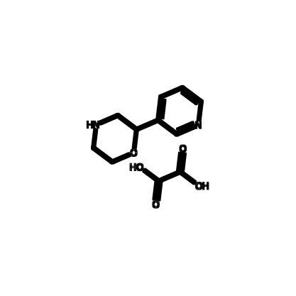 O=C(O)C(=O)O.c1cncc(C2CNCCO2)c1